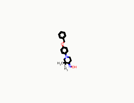 CC1(C)CN(c2ccc(OCc3ccccc3)cc2)CC/C1=N\O